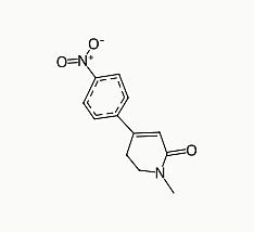 CN1CCC(c2ccc([N+](=O)[O-])cc2)=CC1=O